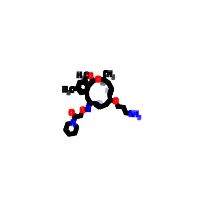 Cc1cc(C)c2c(c1)CC(=NOCC(=O)N1CCCCC1)/C=C/CC(OCCCN)/C=C/C[C@@H](C)OC2=O